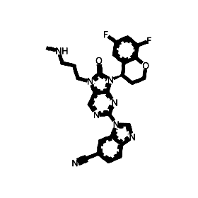 CNCCCn1c(=O)n([C@@H]2CCOc3c(F)cc(F)cc32)c2nc(-n3cnc4ccc(C#N)cc43)ncc21